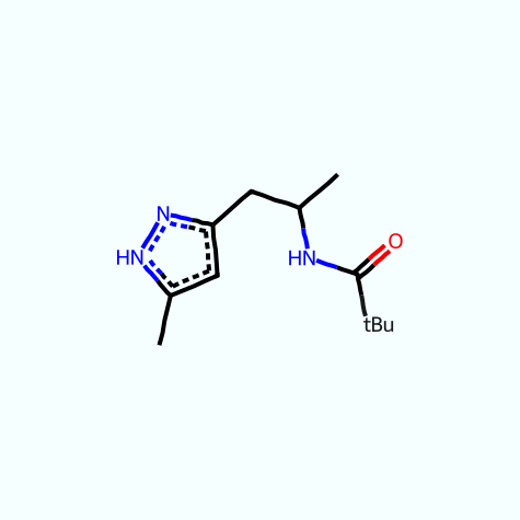 Cc1cc(CC(C)NC(=O)C(C)(C)C)n[nH]1